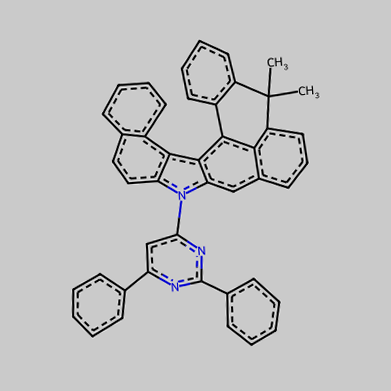 CC1(C)c2ccccc2-c2c3c1cccc3cc1c2c2c3ccccc3ccc2n1-c1cc(-c2ccccc2)nc(-c2ccccc2)n1